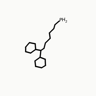 PCCCCCCC(C1CCCCC1)C1CCCCC1